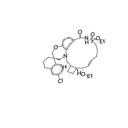 CCO[C@H]1/C=C/CC[C@@H](CC)S(=O)(=O)NC(=O)c2ccc3c(c2)N(C[C@@H]2CC[C@H]21)C[C@@]1(CCCc2cc(Cl)ccc21)CO3